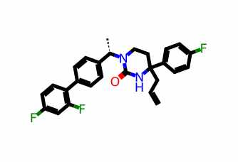 C=CCC1(c2ccc(F)cc2)CCN([C@@H](C)c2ccc(-c3ccc(F)cc3F)cc2)C(=O)N1